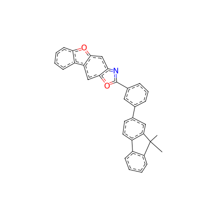 CC1(C)c2ccccc2-c2ccc(-c3cccc(-c4nc5cc6oc7ccccc7c6cc5o4)c3)cc21